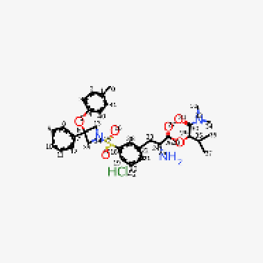 Cc1ccc(OC2(c3ccccc3)CN(S(=O)(=O)c3cccc(C[C@H](N)C(=O)OC(C(=O)N(C)C)C(C)C)c3)C2)cc1.Cl